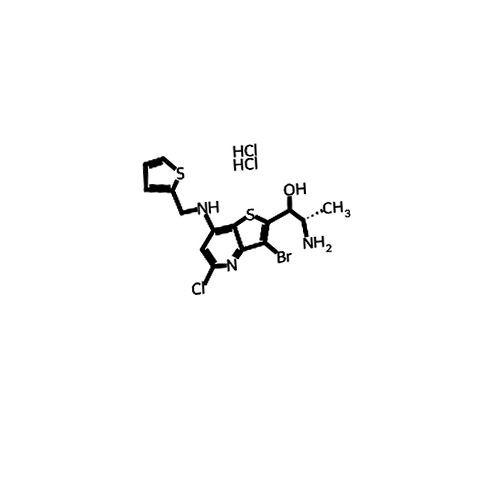 C[C@H](N)C(O)c1sc2c(NCc3cccs3)cc(Cl)nc2c1Br.Cl.Cl